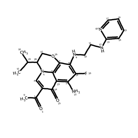 CC(=O)c1cn2c3c(c(NCCNc4ccccn4)c(F)c(N)c3c1=O)OCC2C(C)C